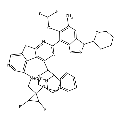 Cc1cc2c(cnn2C2CCCCO2)c(-c2nc(C3NCC4CCC3N4C(=O)O)c3c(n2)sc2cncc(OCC4(OCc5ccccc5)C(F)C4F)c23)c1OC(F)F